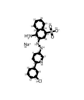 Nc1c(N=Nc2ccc(-c3cccc(Cl)c3)nc2)cc(S(=O)(=O)[O-])c2ccccc12.[Na+]